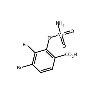 [NH2][Mo](=[O])(=[O])[O]c1c(C(=O)O)ccc(Br)c1Br